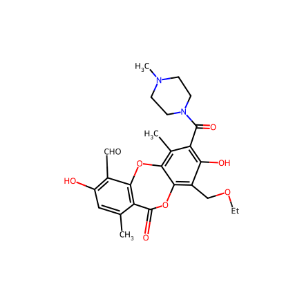 CCOCc1c(O)c(C(=O)N2CCN(C)CC2)c(C)c2c1OC(=O)c1c(C)cc(O)c(C=O)c1O2